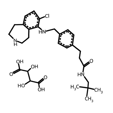 CC(C)(C)CNC(=O)CCc1ccc(CNc2c(Cl)ccc3c2CCNCC3)cc1.O=C(O)C(O)C(O)C(=O)O